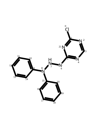 Clc1ncnc([N]NN(c2ccccc2)c2ccccc2)n1